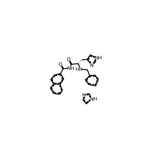 O=C(NC(=O)[C@H](Cc1c[nH]cn1)NCc1ccccc1)c1ccc2ccccc2c1.c1c[nH]cn1